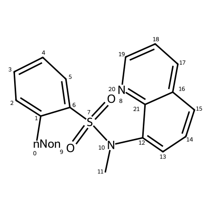 CCCCCCCCCc1ccccc1S(=O)(=O)N(C)c1cccc2cccnc12